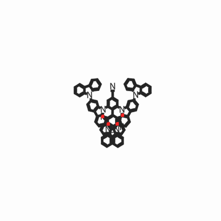 N#Cc1cc(-n2c3cc(-n4c5ccccc5c5ccccc54)ccc3c3ccc(-n4c5ccccc5c5ccccc54)cc32)c(-c2c(F)c(F)c(F)c(F)c2F)c(-n2c3cc(-n4c5ccccc5c5ccccc54)ccc3c3ccc(-n4c5ccccc5c5ccccc54)cc32)c1